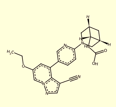 CCOc1cc(-c2ccc(N3C[C@H]4C[C@@H](C3)[C@H]4NC(=O)O)nc2)c2c(C#N)cnn2c1